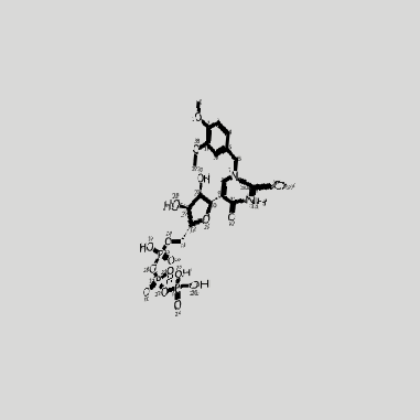 COc1ccc(Cn2cc([C@@H]3O[C@H](COP(=O)(O)OP(=O)(O)OP(=O)(O)O)[C@@H](O)[C@H]3O)c(=O)[nH]c2=O)cc1OC